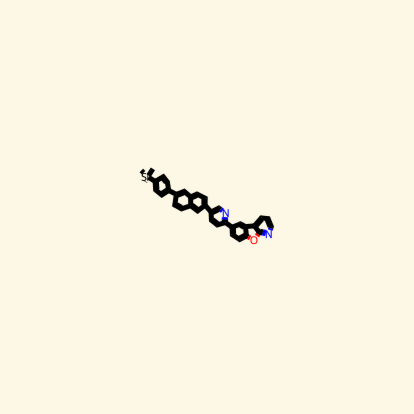 C[Si](C)(C)c1ccc(-c2ccc3cc(-c4ccc(-c5ccc6oc7ncccc7c6c5)nc4)ccc3c2)cc1